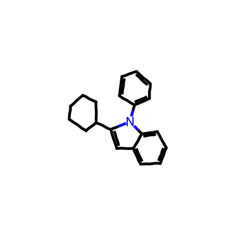 c1ccc(-n2c(C3CCCCC3)cc3ccccc32)cc1